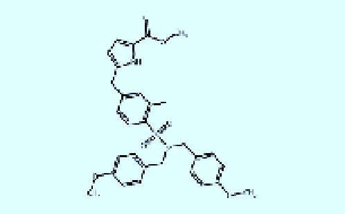 COC(=O)c1ccc(Cc2ccc(S(=O)(=O)N(Cc3ccc(OC)cc3)Cc3ccc(OC)cc3)c(F)c2)[nH]1